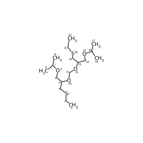 CCSCC(COC(C)C)OCOC(COC(C)C)CSCC